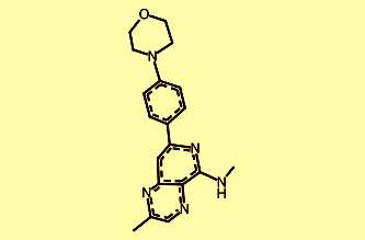 CNc1nc(-c2ccc(N3CCOCC3)cc2)cc2nc(C)cnc12